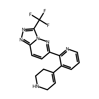 FC(F)(F)c1nnc2ccc(-c3ncccc3C3=CCNCC3)nn12